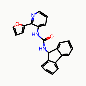 O=C(Nc1cccnc1-c1ccco1)NC1c2ccccc2-c2ccccc21